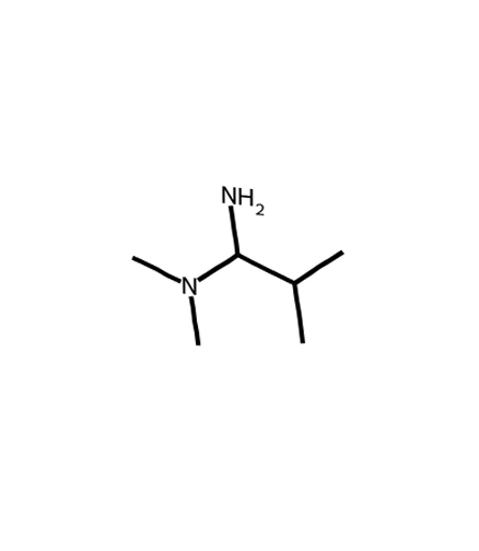 CC(C)C(N)N(C)C